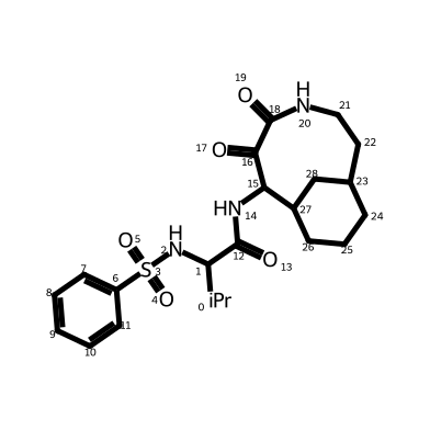 CC(C)C(NS(=O)(=O)c1ccccc1)C(=O)NC1C(=O)C(=O)NCCC2CCCC1C2